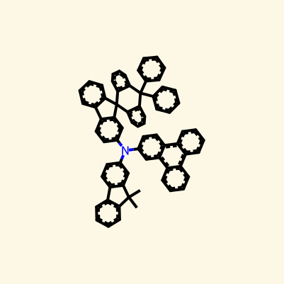 CC1(C)c2ccccc2-c2ccc(N(c3ccc4c(c3)C3(c5ccccc5-4)c4ccccc4C(c4ccccc4)(c4ccccc4)c4ccccc43)c3ccc4c5ccccc5c5ccccc5c4c3)cc21